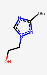 CC(C)(C)c1ncn(CCO)n1